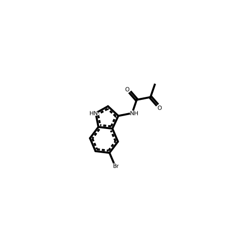 CC(=O)C(=O)Nc1c[nH]c2ccc(Br)cc12